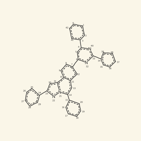 c1ccc(-c2cc(-c3ccc4c(c3)cc(-c3ccccc3)n3nc(-c5ccccc5)cc43)nc(-c3ccccc3)n2)cc1